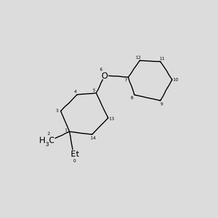 CCC1(C)CCC(OC2CCCCC2)CC1